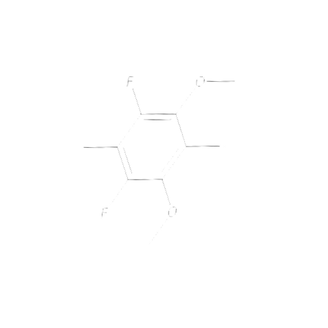 [CH2]c1c(OC)c(F)c(C)c(F)c1OC